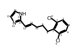 Clc1cccc(Cl)c1CCCC=Cc1ncc[nH]1